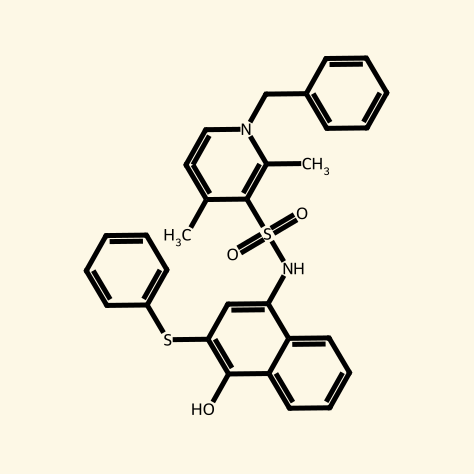 CC1=C=CN(Cc2ccccc2)C(C)=C1S(=O)(=O)Nc1cc(Sc2ccccc2)c(O)c2ccccc12